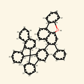 c1ccc(-c2cc3c4c(cccc4c2-c2ccc4c(c2)C2(c5ccccc5-4)c4ccccc4-c4c2ccc2ccccc42)-c2ccccc2O3)cc1